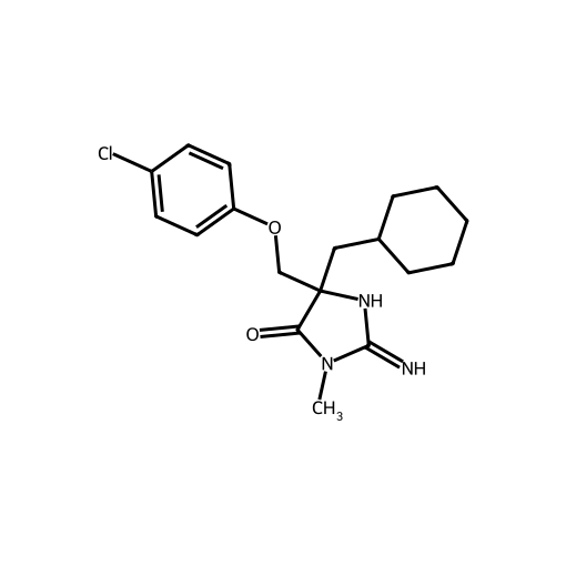 CN1C(=N)NC(COc2ccc(Cl)cc2)(CC2CCCCC2)C1=O